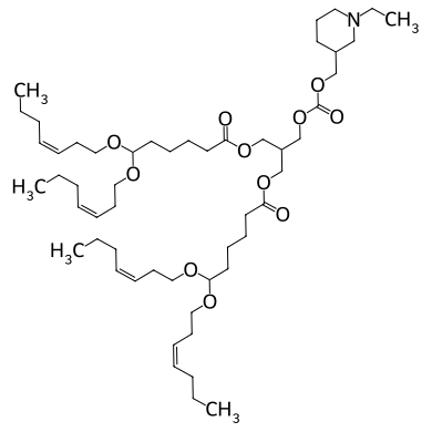 CCC/C=C\CCOC(CCCCC(=O)OCC(COC(=O)CCCCC(OCC/C=C\CCC)OCC/C=C\CCC)COC(=O)OCC1CCCN(CC)C1)OCC/C=C\CCC